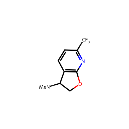 CNC1COc2nc(C(F)(F)F)ccc21